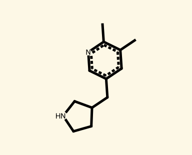 Cc1cc(CC2CCNC2)cnc1C